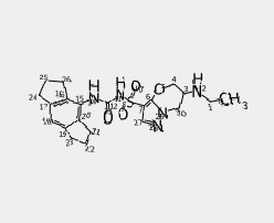 CCNC1COc2c(S(=O)(=O)NC(=O)Nc3c4c(cc5c3CCC5)CCC4)cnn2C1